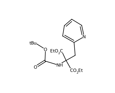 CCOC(=O)C(Cc1ccccn1)(NC(=O)OC(C)(C)C)C(=O)OCC